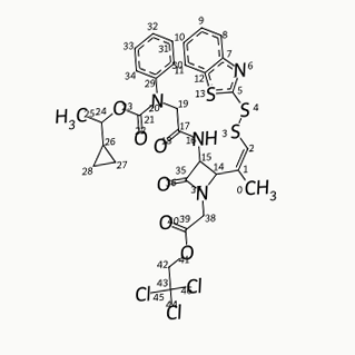 CC(=CSSc1nc2ccccc2s1)C1C(NC(=O)CN(C(=O)OC(C)C2CC2)c2ccccc2)C(=O)N1CC(=O)OCC(Cl)(Cl)Cl